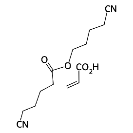 C=CC(=O)O.N#CCCCCOC(=O)CCCCC#N